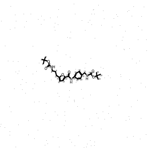 CC(C)(C)OC(=O)NCCCc1ccc(C(=O)Nc2ccc(CNC(=O)OC(C)(C)C)cc2)o1